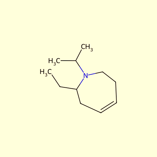 CCC1CC=CCCN1C(C)C